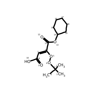 CC(C)(C)OOC(=CC(=O)O)C(=O)OC1CCCCC1